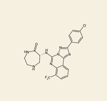 O=C1NCCNC[C@H]1Nc1nc2c(C(F)(F)F)cccc2c2nc(-c3ccc(Cl)cc3)nn12